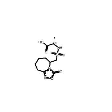 C[C@H](NS(=O)(=O)CC1CCCCc2noc(=O)n21)C(=O)O